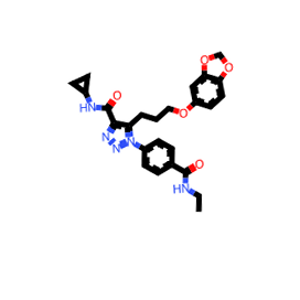 CCNC(=O)c1ccc(-n2nnc(C(=O)NC3CC3)c2CCCOc2ccc3c(c2)OCO3)cc1